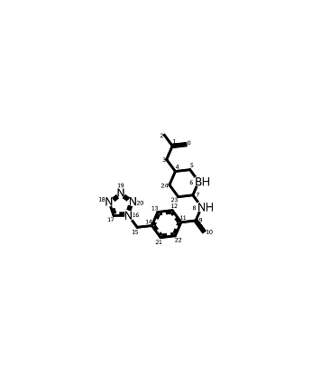 C=C(C)CC1CBC(NC(=C)c2ccc(Cn3cnnn3)cc2)CC1